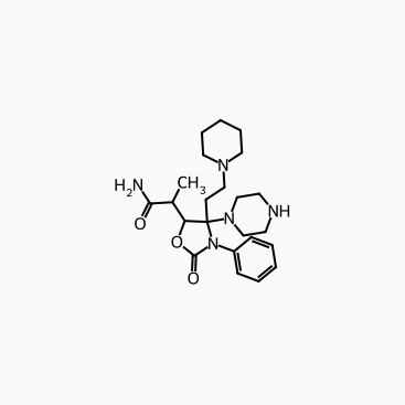 CC(C(N)=O)C1OC(=O)N(c2ccccc2)C1(CCN1CCCCC1)N1CCNCC1